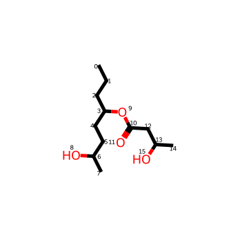 [CH2]CCC(CCC(C)O)OC(=O)CC(C)O